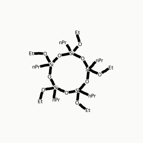 CCC[Si]1(OCC)O[Si](CCC)(OCC)O[Si](CCC)(OCC)O[Si](CCC)(OCC)O[Si](CCC)(OCC)O1